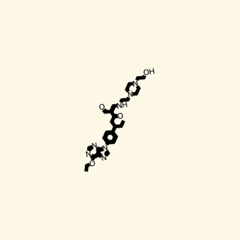 CCOc1ncnc2c1ncn2-c1ccc(C(CC)CC(=O)/C(C=O)=C\NCCN2CCN(CCO)CC2)cc1